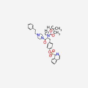 CN(C(=O)OC(C)(C)C)[C@@H](Cc1ccc(OS(=O)(=O)c2nccc3ccccc23)cc1)C(=O)N1CCN(CCc2ccccc2)CC1